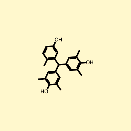 Cc1ccc(O)cc1C(c1cc(C)c(O)c(C)c1)c1cc(C)c(O)c(C)c1